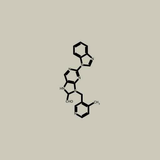 Cc1ccncc1CN1c2nc(-n3cnc4ccccc43)ncc2NC1C=O